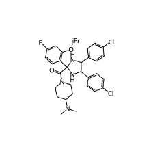 CC(C)Oc1cc(F)ccc1C1(C(=O)N2CCC(N(C)C)CC2)N[C](c2ccc(Cl)cc2)C(c2ccc(Cl)cc2)N1